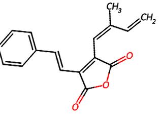 C=CC(C)=CC1=C(C=Cc2ccccc2)C(=O)OC1=O